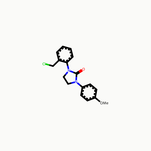 COc1ccc(N2CCN(c3ccccc3CCl)C2=O)cc1